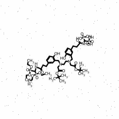 CCOP(=O)(OCC)C(NC(=O)CCc1ccc(O)c(CN(CCN(CC(=O)OC(C)(C)C)Cc2cc(CCC(=O)NC(P(=O)(O)O)P(=O)(O)O)ccc2O)CC(=O)OC(C)(C)C)c1)P(=O)(OCC)OCC